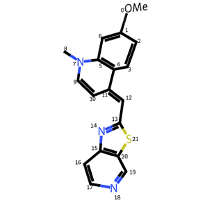 COc1ccc2c(c1)N(C)C=C/C2=C\c1nc2ccncc2s1